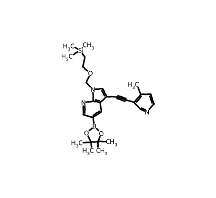 Cc1ccncc1C#Cc1cn(COCC[Si](C)(C)C)c2ncc(B3OC(C)(C)C(C)(C)O3)cc12